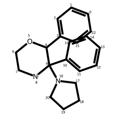 c1ccc(C2OCC[N]C2(c2ccccc2)N2CCCC2)cc1